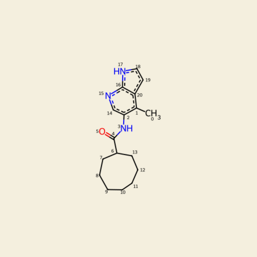 Cc1c(NC(=O)C2CCCCCCC2)cnc2[nH]ccc12